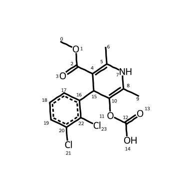 COC(=O)C1=C(C)NC(C)=C(OC(=O)O)C1c1cccc(Cl)c1Cl